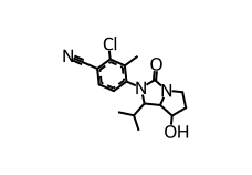 Cc1c(N2C(=O)N3CCC(O)C3C2C(C)C)ccc(C#N)c1Cl